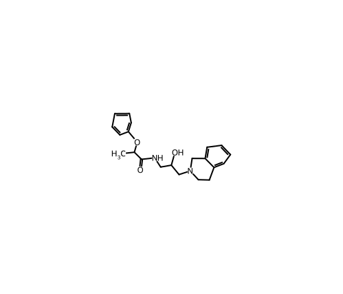 CC(Oc1ccccc1)C(=O)NCC(O)CN1CCc2ccccc2C1